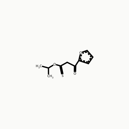 CC(C)OC(=S)CC(=O)c1ccco1